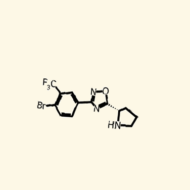 FC(F)(F)c1cc(-c2noc([C@@H]3CCCN3)n2)ccc1Br